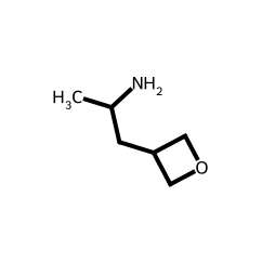 CC(N)CC1COC1